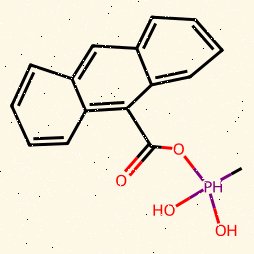 C[PH](O)(O)OC(=O)c1c2ccccc2cc2ccccc12